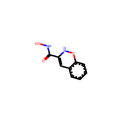 O=C(NO)C1=Cc2ccccc2ON1